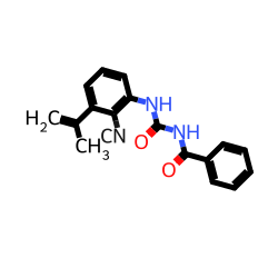 C=C(C)c1cccc(NC(=O)NC(=O)c2ccccc2)c1C#N